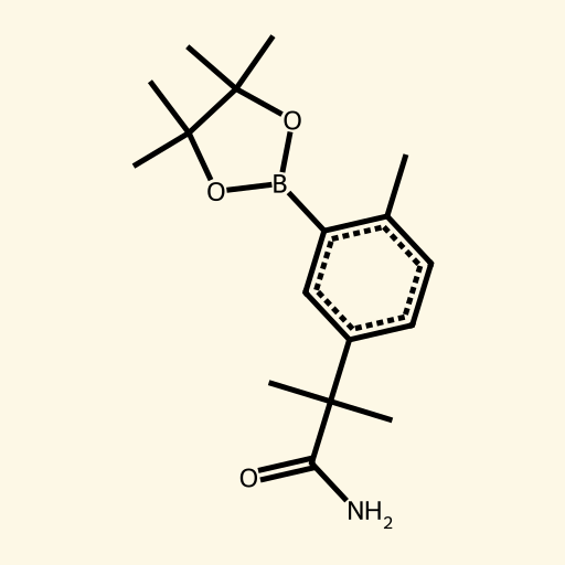 Cc1ccc(C(C)(C)C(N)=O)cc1B1OC(C)(C)C(C)(C)O1